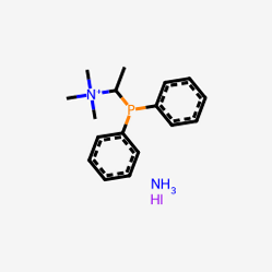 CC(P(c1ccccc1)c1ccccc1)[N+](C)(C)C.I.N